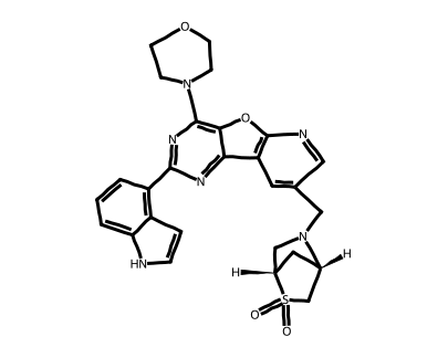 O=S1(=O)C[C@@H]2C[C@H]1CN2Cc1cnc2oc3c(N4CCOCC4)nc(-c4cccc5[nH]ccc45)nc3c2c1